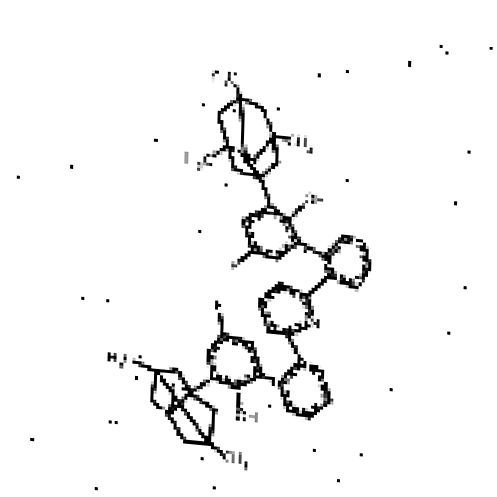 CC12CC3(C)CC(C)(C1)CC(c1cc(F)cc(-c4ccccc4-c4cccc(-c5ccccc5-c5cc(F)cc(C67CC8(C)CC6(C)CC8(C)C7)c5O)n4)c1O)(C2)C3